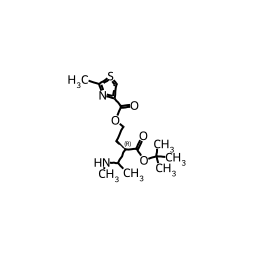 CNC(C)[C@@H](CCOC(=O)c1csc(C)n1)C(=O)OC(C)(C)C